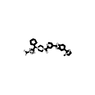 Cn1ccnc1-c1ccc2oc(-c3ccnc(C(=O)N4CCN(C(c5ccccc5)c5nnn(C(F)F)n5)CC4)c3)nc2c1